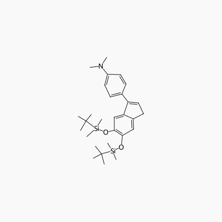 CN(C)c1ccc(C2=CCc3cc(O[Si](C)(C)C(C)(C)C)c(O[Si](C)(C)C(C)(C)C)cc32)cc1